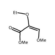 CCOC(=COC)C(=O)OC